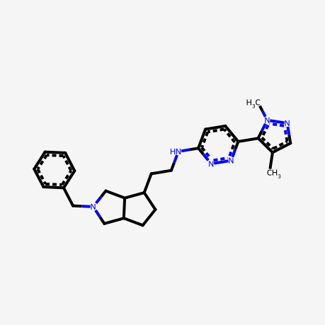 Cc1cnn(C)c1-c1ccc(NCCC2CCC3CN(Cc4ccccc4)CC23)nn1